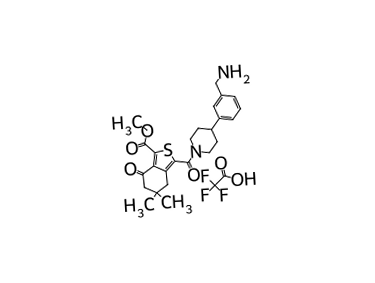 COC(=O)c1sc(C(=O)N2CCC(c3cccc(CN)c3)CC2)c2c1C(=O)CC(C)(C)C2.O=C(O)C(F)(F)F